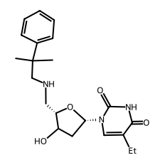 CCc1cn([C@@H]2CC(O)[C@H](CNCC(C)(C)c3ccccc3)O2)c(=O)[nH]c1=O